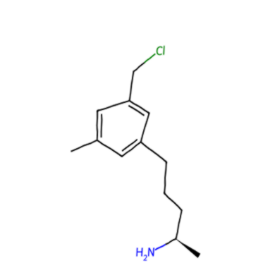 Cc1cc(CCl)cc(CCC[C@@H](C)N)c1